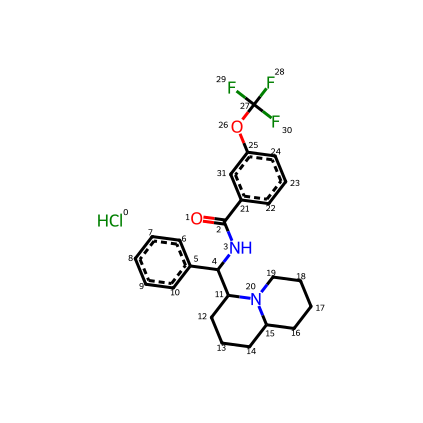 Cl.O=C(NC(c1ccccc1)C1CCCC2CCCCN21)c1cccc(OC(F)(F)F)c1